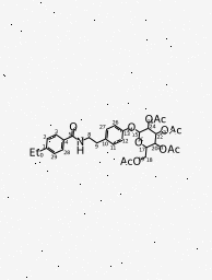 CCc1ccc(C(=O)NCCc2ccc(OC3OC(COC(C)=O)C(OC(C)=O)C(OC(C)=O)C3OC(C)=O)cc2)cc1